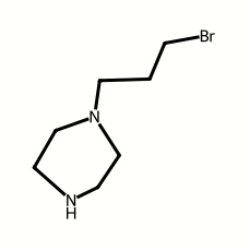 BrCCCN1CCNCC1